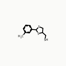 Cc1cccc(C2SCC(CS)S2)c1